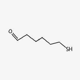 O=CCCCCCS